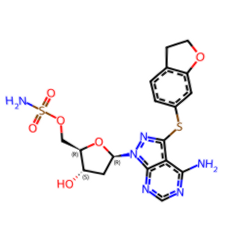 Nc1ncnc2c1c(Sc1ccc3c(c1)OCC3)nn2[C@H]1C[C@H](O)[C@@H](COS(N)(=O)=O)O1